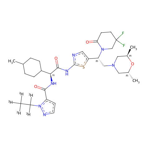 [2H]C([2H])([2H])C([2H])([2H])n1nccc1C(=O)N[C@H](C(=O)Nc1ncc([C@@H](CN2C[C@@H](C)O[C@H](C)C2)N2CC(F)(F)CCC2=O)s1)C1CCC(C)CC1